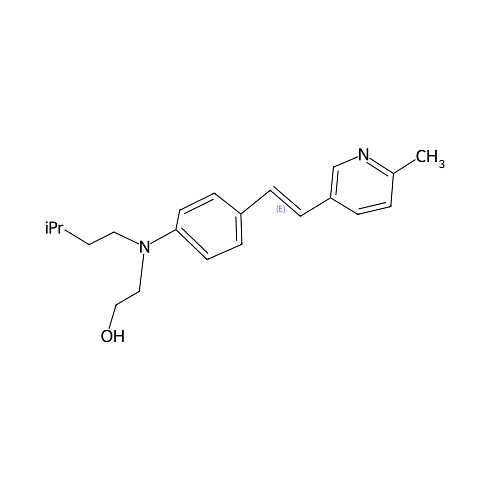 Cc1ccc(/C=C/c2ccc(N(CCO)CCC(C)C)cc2)cn1